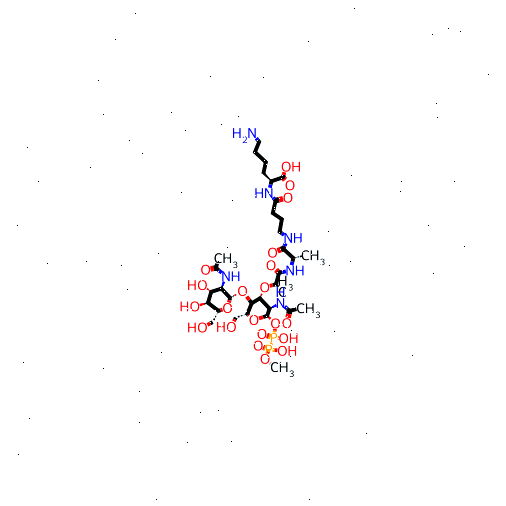 COP(=O)(O)P(=O)(O)O[C@H]1O[C@H](CO)C(O[C@@H]2O[C@H](CO)[C@@H](O)[C@H](O)[C@H]2NC(C)=O)[C@H](O[C@H](C)C(=O)N[C@@H](C)C(=O)NCCCC(=O)N[C@@H](CCCCN)C(=O)O)[C@H]1NC(C)=O